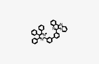 C=N/C(=C(\C(=N/Cc1cccc(-c2cccc(-c3nc4ccccc4c4nc5ccccn5c34)c2)c1)c1ccccc1)c1ccccc1)c1ccccc1